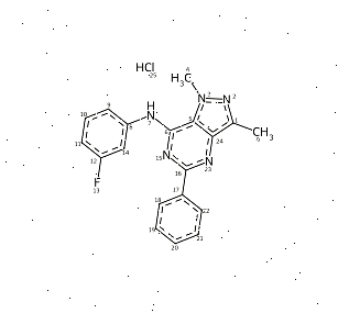 Cc1nn(C)c2c(Nc3cccc(F)c3)nc(-c3ccccc3)nc12.Cl